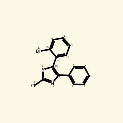 Clc1nc(-c2ccccc2)c(-c2ccccc2Br)s1